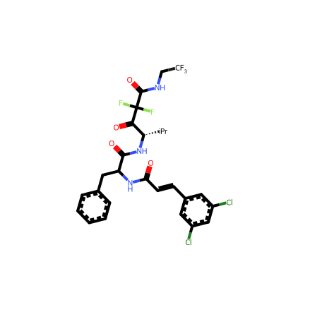 CC(C)[C@H](NC(=O)C(Cc1ccccc1)NC(=O)/C=C/c1cc(Cl)cc(Cl)c1)C(=O)C(F)(F)C(=O)NCC(F)(F)F